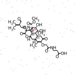 COC(=O)[C@@]12OC[C@]34C([C@@H](O)[C@@H]1O)[C@@]1(C)CC(=O)C(OCC(=O)NCCC(=O)O)=C(C)[C@@H]1C[C@H]3OC(=O)[C@H](OCC(C=O)=C(C)C)[C@@]24N